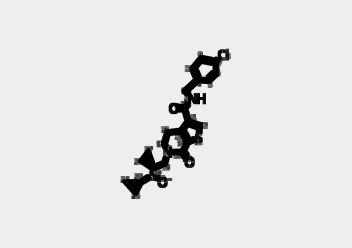 O=C(NCc1ccc(Cl)cc1)c1csc2c1CCN(CC1([S+]([O-])C3CC3)CC1)C2=O